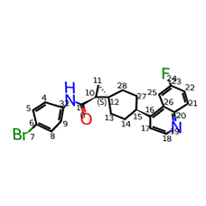 O=C(Nc1ccc(Br)cc1)[C@H]1C[C@]12CC[C@H](c1ccnc3ccc(F)cc31)CC2